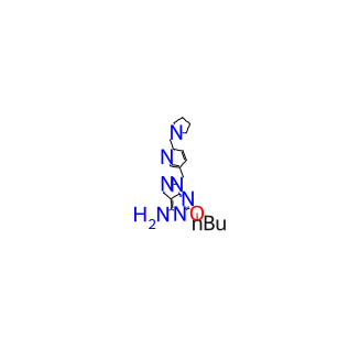 CCCCOc1nc(N)c2cnn(Cc3ccc(CN4CCCC4)nc3)c2n1